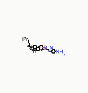 CC(C)CCC[C@@H](C)[C@H]1CC[C@H]2[C@@H]3CCC4C(C)(C)C(OCCCc5ccc(N)cc5N)CC[C@]4(C)[C@H]3CC[C@]12C